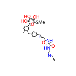 C#CCN(C)CCNC(=O)C(C)(C)NC(=O)C/C=C/c1ccc(Cc2cc([C@@H]3O[C@H](SC)[C@@H](O)[C@H](O)[C@H]3O)ccc2C)cc1